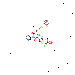 N[C@@H](CCCSCC(=O)C(F)(F)F)C(=O)N(C(=O)Cc1ccsc1)c1cccnc1.O=C(O)C(F)(F)F